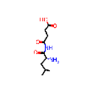 CC(C)C[C@H](N)C(=O)NC(=O)CCC(=O)O